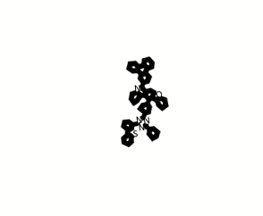 c1ccc(-c2nc(-c3ccc(-c4c5c(cc6c(-c7ccc8c9ccccc9c9ccccc9c8c7)nc7ccccc7c46)oc4ccccc45)cc3)nc(-c3cccc4c3sc3ccccc34)n2)cc1